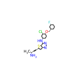 C[C@H](N)C#Cc1cc2ncnc(Nc3ccc(OCc4cccc(F)c4)c(Cl)c3)c2s1